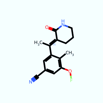 C/C(=C1/CCCNC1=O)c1cc(C#N)cc(OF)c1C